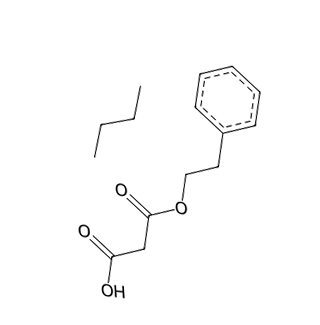 CCCC.O=C(O)CC(=O)OCCc1ccccc1